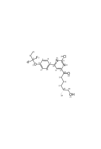 CCC(F)(F)Oc1ccc(-c2cc(C(=O)CCC[C@@H](C)CO)nc(Cl)n2)cc1